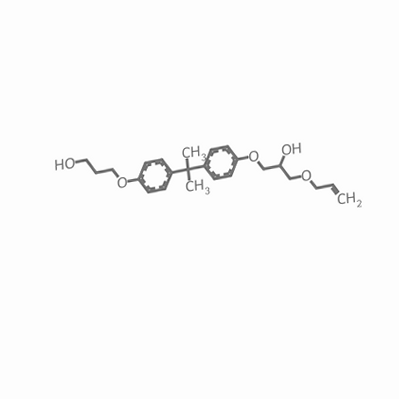 C=CCOCC(O)COc1ccc(C(C)(C)c2ccc(OCCCO)cc2)cc1